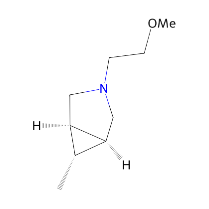 COCCN1C[C@@H]2[C@@H](C)[C@@H]2C1